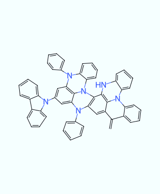 C=c1c2ccccc2n2c3ccccc3[nH]c3c2c1cc1c3n2c3ccccc3n(-c3ccccc3)c3cc(-n4c5ccccc5c5ccccc54)cc(c32)n1-c1ccccc1